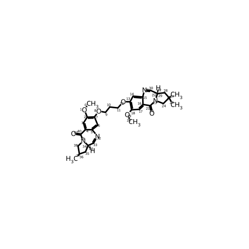 COc1cc2c(cc1OCCCOc1cc3c(cc1OC)C(=O)N1CC(C)(C)C[C@H]1C=N3)N=C[C@@H]1CC(C)CN1C2=O